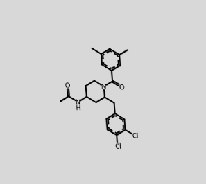 CC(=O)NC1CCN(C(=O)c2cc(C)cc(C)c2)C(Cc2ccc(Cl)c(Cl)c2)C1